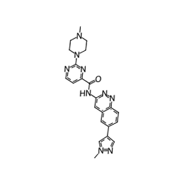 CN1CCN(c2nccc(C(=O)Nc3cc4cc(-c5cnn(C)c5)ccc4nn3)n2)CC1